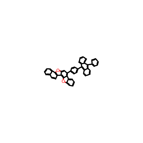 c1ccc(-c2c3ccccc3c(-c3ccc(-c4cc5oc6c7ccccc7ccc6c5c5oc6ccccc6c45)cc3)c3ccccc23)cc1